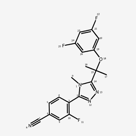 Cn1c(-c2ccc(C#N)cc2F)nnc1C(C)(C)Oc1cc(F)cc(F)c1